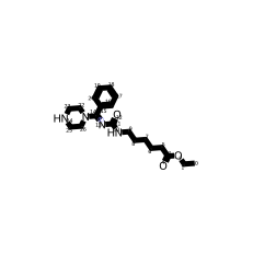 CCOC(=O)CCCCCNC(=O)/N=C(\c1ccccc1)N1CCNCC1